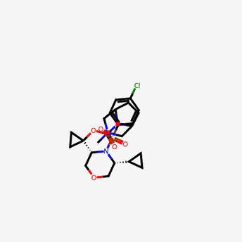 CN1CC2CCC(C1)N2C(=O)OC1([C@H]2COC[C@@H](C3CC3)N2S(=O)(=O)c2ccc(Cl)cc2)CC1